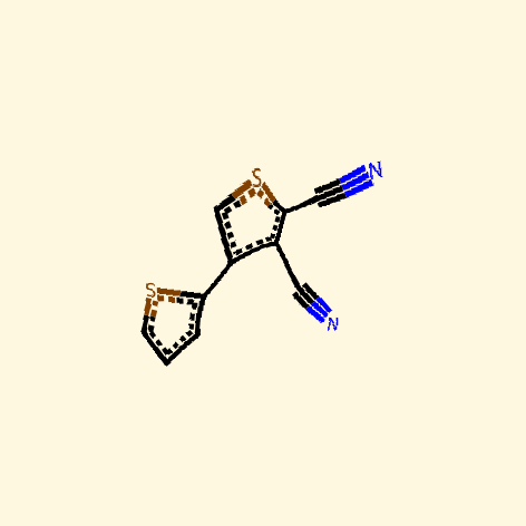 N#Cc1scc(-c2cccs2)c1C#N